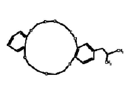 CC(C)Cc1ccc2c(c1)OCCOCCOc1ccccc1OCCOCCO2